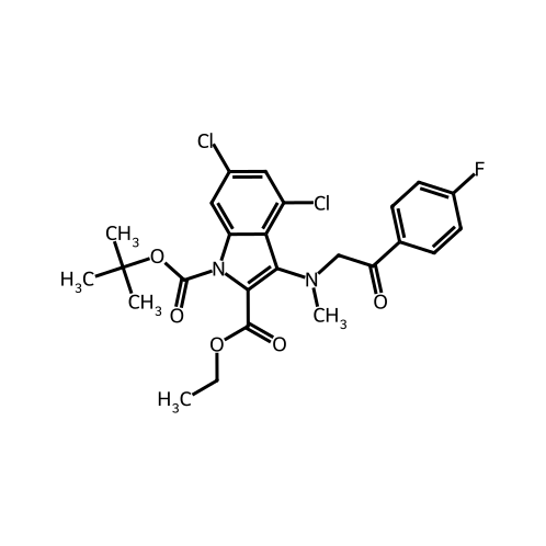 CCOC(=O)c1c(N(C)CC(=O)c2ccc(F)cc2)c2c(Cl)cc(Cl)cc2n1C(=O)OC(C)(C)C